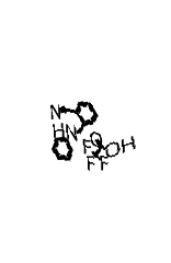 N#Cc1ccccc1CNc1ccccc1.O=C(O)C(F)(F)F